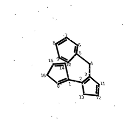 [C]1=C(C2=C(Cc3ccccc3)C=CC2)C=CC1